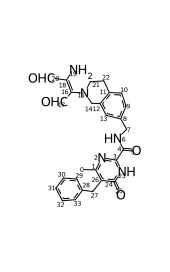 Cc1nc(C(=O)NCc2ccc3c(c2)CN(/C(C=O)=C(\N)C=O)CC3)[nH]c(=O)c1Cc1ccccc1